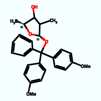 B[C@H]1O[C@H](OC(c2ccccc2)(c2ccc(OC)cc2)c2ccc(OC)cc2)C(C)C1O